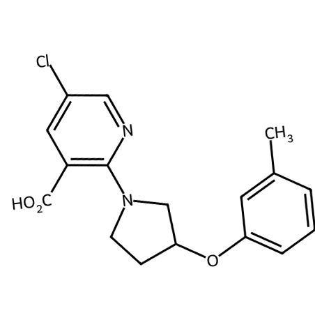 Cc1cccc(OC2CCN(c3ncc(Cl)cc3C(=O)O)C2)c1